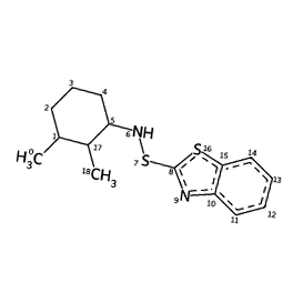 CC1CCCC(NSc2nc3ccccc3s2)C1C